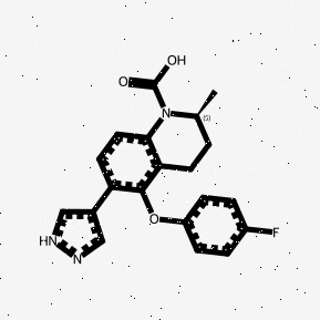 C[C@H]1CCc2c(ccc(-c3cn[nH]c3)c2Oc2ccc(F)cc2)N1C(=O)O